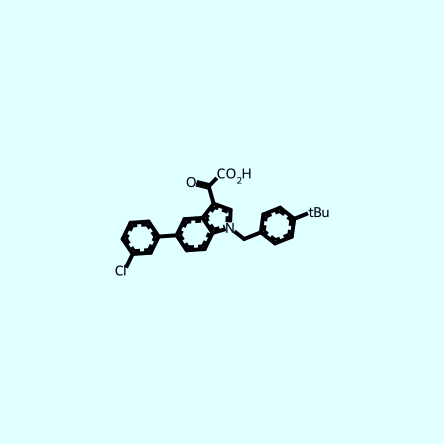 CC(C)(C)c1ccc(Cn2cc(C(=O)C(=O)O)c3cc(-c4cccc(Cl)c4)ccc32)cc1